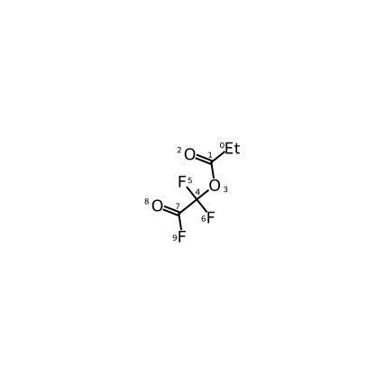 CCC(=O)OC(F)(F)C(=O)F